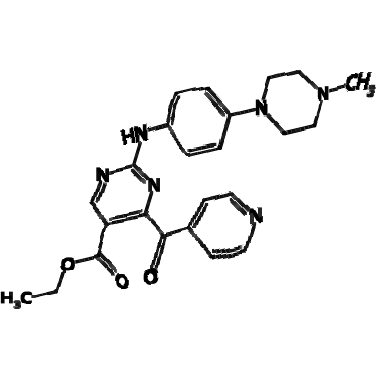 CCOC(=O)c1cnc(Nc2ccc(N3CCN(C)CC3)cc2)nc1C(=O)c1ccncc1